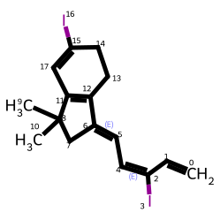 C=C/C(I)=C\C=C1/CC(C)(C)C2=C1CCC(I)=C2